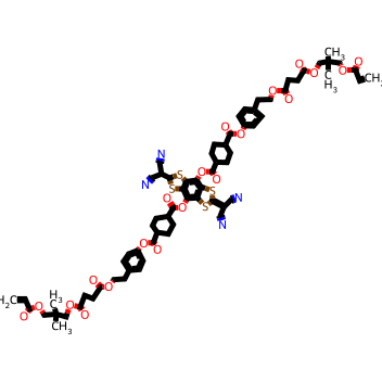 C=CC(=O)OCC(C)(C)COC(=O)CCC(=O)OCCc1ccc(OC(=O)C2CCC(C(=O)Oc3c4c(c(OC(=O)C5CCC(C(=O)Oc6ccc(CCOC(=O)CCC(=O)OCC(C)(C)COC(=O)C=C)cc6)CC5)c5c3SC(C(C#N)C#N)S5)SC(=C(C#N)C#N)S4)CC2)cc1